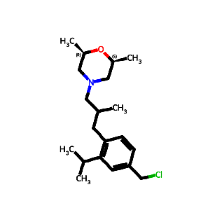 CC(Cc1ccc(CCl)cc1C(C)C)CN1C[C@@H](C)O[C@@H](C)C1